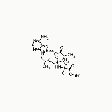 CCCCCCOC(=O)C(C)NP(=O)(COC(C)Cn1cnc2c(N)ncnc21)NC(C)(C)C(=O)OC(C)C